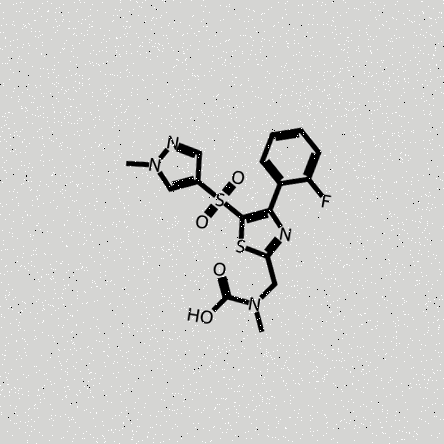 CN(Cc1nc(-c2ccccc2F)c(S(=O)(=O)c2cnn(C)c2)s1)C(=O)O